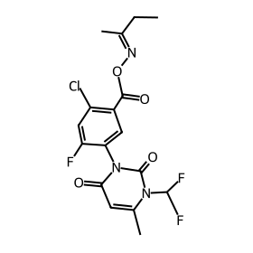 CC/C(C)=N/OC(=O)c1cc(-n2c(=O)cc(C)n(C(F)F)c2=O)c(F)cc1Cl